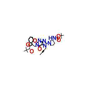 CC#CCn1c(N2CCCC(NC(=O)OC(C)(C)C)C2)nc2c1c(=O)n(Cc1c(C(=O)C(C)(C)C)oc3ccccc13)c(=O)n2C